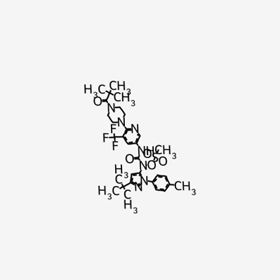 Cc1ccc(-n2nc(C(C)(C)C)cc2N(OS(C)(=O)=O)C(=O)Nc2cnc(N3CCN(C(=O)C(C)(C)C)CC3)c(C(F)(F)F)c2)cc1